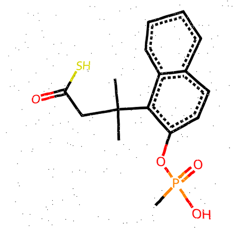 CC(C)(CC(=O)S)c1c(OP(C)(=O)O)ccc2ccccc12